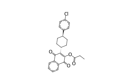 CCC(=O)OC1=C([C@H]2CC[C@H](c3ccc(Cl)cc3)CC2)C(=O)c2ccccc2C1=O